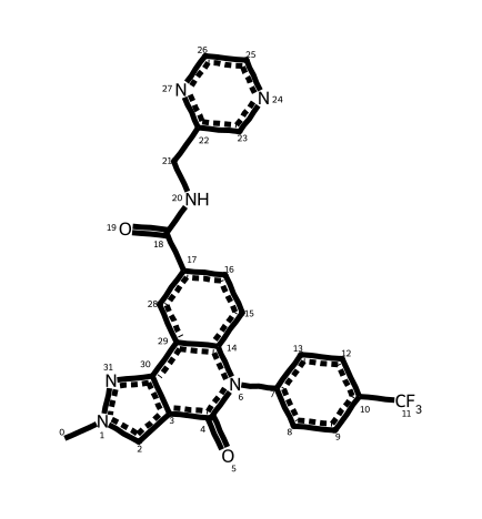 Cn1cc2c(=O)n(-c3ccc(C(F)(F)F)cc3)c3ccc(C(=O)NCc4cnccn4)cc3c2n1